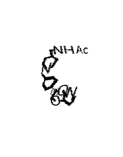 CC(=O)NCC1CCN(Cc2ccc([C@H]3COc4cccnc4O3)cc2)CC1